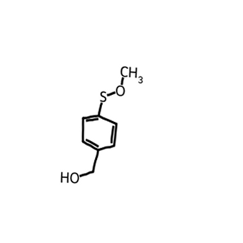 COSc1ccc(CO)cc1